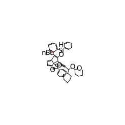 CCCCC1=C(O[SiH](c2ccccc2)c2ccccc2)C(C#CC(OC2CCCCO2)C2CCCCC2)C2(S(=O)(=O)c3ccccc3)C=CC=C12